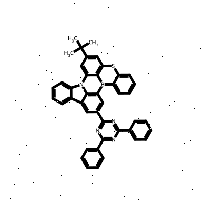 CC(C)(C)c1cc2c3c(c1)-n1c4ccccc4c4cc(-c5nc(-c6ccccc6)nc(-c6ccccc6)n5)cc(c41)B3c1ccccc1S2